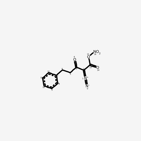 [N-]=[N+]=C(C(=O)CCc1ccccc1)C(=O)O[N+](=O)[O-]